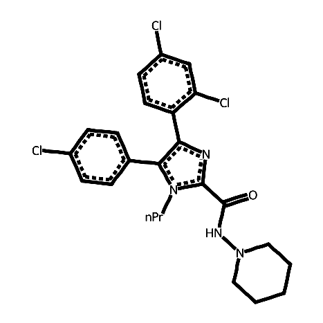 CCCn1c(C(=O)NN2CCCCC2)nc(-c2ccc(Cl)cc2Cl)c1-c1ccc(Cl)cc1